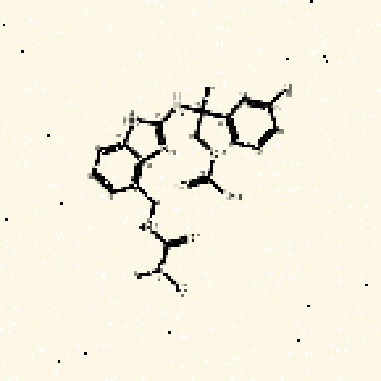 CCN(C)C(=O)NCc1cccc2[nH]c(NC(C)(COC(=O)C(C)(C)C)c3cccc(Cl)c3)nc12